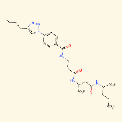 O=C(O)CCC(NC(=O)CC(NC(=O)CCNC(=O)c1ccc(-n2cc(CCCF)nn2)cc1)C(=O)O)C(=O)O